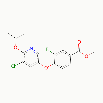 COC(=O)c1ccc(Oc2cnc(OC(C)C)c(Cl)c2)c(F)c1